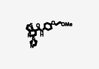 COCCOC1CCC(NC(=O)c2cc(-n3ccnc3)nc3ccsc23)CC1